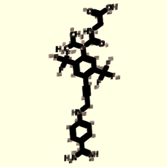 CC(C)N(C(=O)NCC(=O)O)c1cc(C(F)(F)F)c(C#CCNc2ccc(C(=N)N)cc2)cc1C(F)(F)F